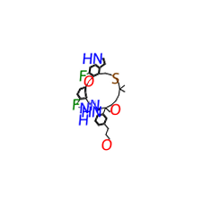 CN/C1=N\C(=N)C(C=O)(c2cccc(CCC=O)c2)CCCC(C)(C)CSCCc2c(c(F)cc3[nH]ccc23)Oc2ccc(F)c1c2